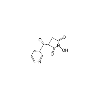 O=C(c1cccnc1)C1CC(=O)N(O)C1=O